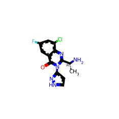 C[C@@H](N)c1nc2c(Cl)cc(F)cc2c(=O)n1-c1cc[nH]n1